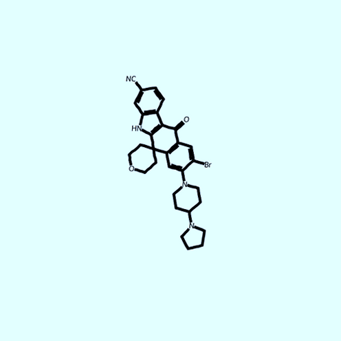 N#Cc1ccc2c3c([nH]c2c1)C1(CCOCC1)c1cc(N2CCC(N4CCCC4)CC2)c(Br)cc1C3=O